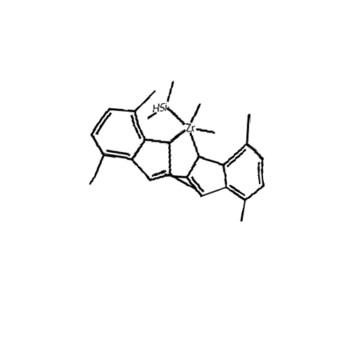 CC1=Cc2c(C)ccc(C)c2[CH]1[Zr]([CH3])([CH3])([CH]1C(C)=Cc2c(C)ccc(C)c21)[SiH](C)C